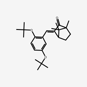 CC(C)(C)Oc1ccc(OC(C)(C)C)c(C=C2C(=O)C3(C)CCC2C3(C)C)c1